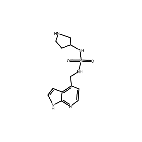 O=S(=O)(NCc1ccnc2[nH]ccc12)NC1CCNC1